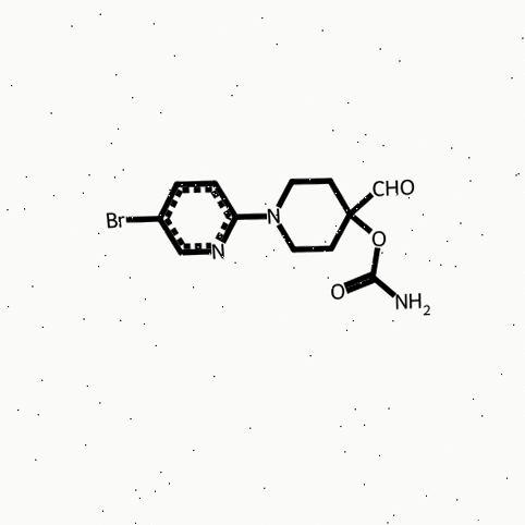 NC(=O)OC1(C=O)CCN(c2ccc(Br)cn2)CC1